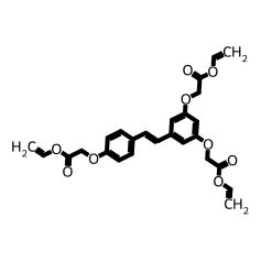 C=COC(=O)COc1ccc(C=Cc2cc(OCC(=O)OC=C)cc(OCC(=O)OC=C)c2)cc1